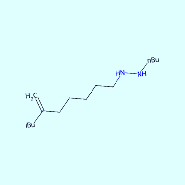 C=C(CCCCCNNCCCC)C(C)CC